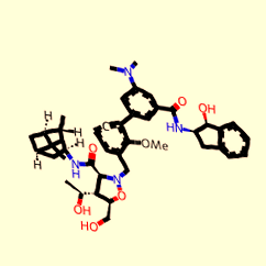 COc1c(CN2O[C@@H](CO)[C@H]([C@H](C)O)[C@H]2C(=O)N[C@H]2C[C@H]3C[C@@H]([C@@H]2C)C3(C)C)cccc1-c1cc(C(=O)N[C@@H]2Cc3ccccc3[C@@H]2O)cc(N(C)C)c1